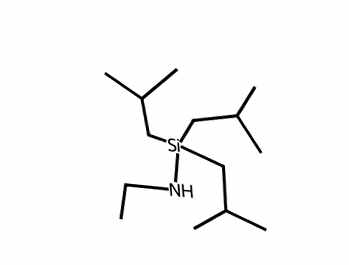 CCN[Si](CC(C)C)(CC(C)C)CC(C)C